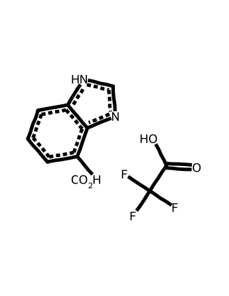 O=C(O)C(F)(F)F.O=C(O)c1cccc2[nH]cnc12